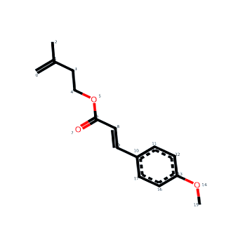 C=C(C)CCOC(=O)/C=C/c1ccc(OC)cc1